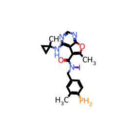 Cc1cc(CN(I)C(=O)c2c(C)oc3ncnc(NC4(C)CC4)c23)ccc1P